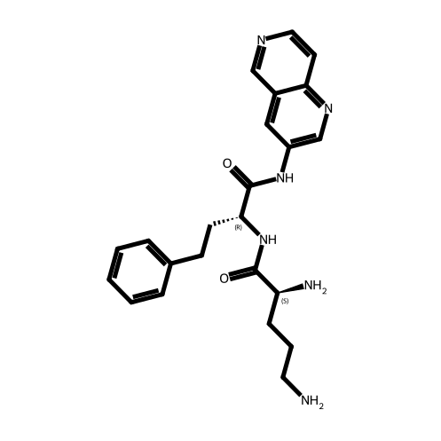 NCCC[C@H](N)C(=O)N[C@H](CCc1ccccc1)C(=O)Nc1cnc2ccncc2c1